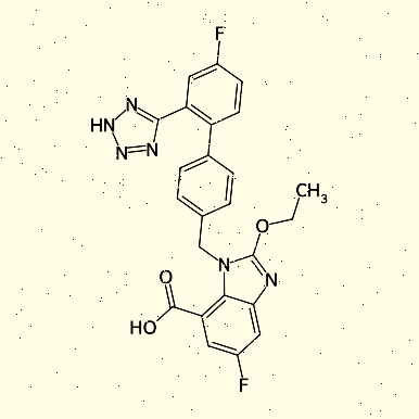 CCOc1nc2cc(F)cc(C(=O)O)c2n1Cc1ccc(-c2ccc(F)cc2-c2nn[nH]n2)cc1